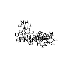 CCC[C@H](NS(=O)(=O)N[C@@H](CCCCN)C(=O)O)C(=O)N[C@H]1C[C@H]2CC[C@]1(C)C2(C)C